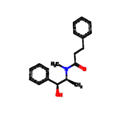 C[C@@H]([C@@H](O)c1ccccc1)N(C)C(=O)CCc1ccccc1